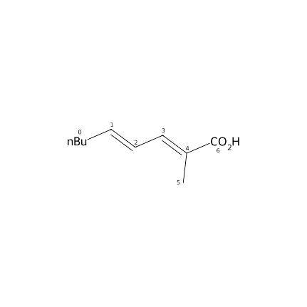 CCCC/C=C/C=C(\C)C(=O)O